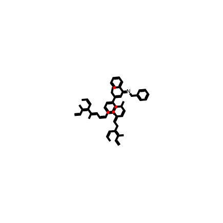 C=CC(C)=C(/C=C\C)/C(C)=C/C=C\C=C(/C)CC(C)/C=C\C(=C/CC(/C=C\C)=C(\C)C=C)c1cccc(/C(=C/C(=N\Cc2ccccc2)c2ccccc2)CC)c1